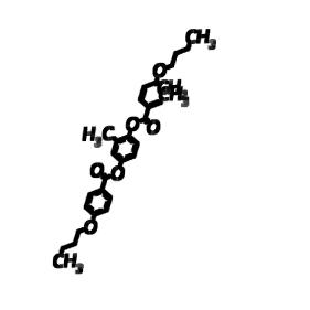 C=C(/C=C\C(=C/C)C(=O)Oc1ccc(OC(=O)c2ccc(OCCCC)cc2)cc1C)OCCCC